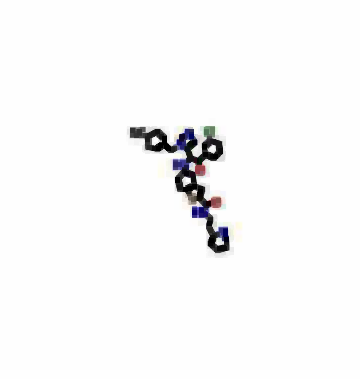 N#Cc1ccc(Cn2cncc2C(Nc2ccc3sc(C(=O)NCCc4ccccn4)cc3c2)C(=O)c2cccc(Cl)c2)cc1